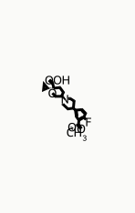 COC(=O)c1cc(C2CCN([C@@H]3CC[C@@](C(=O)O)(C4CC4)OC3)CC2)ccc1F